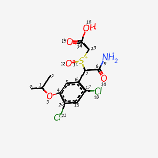 CC(C)Oc1cc(C(C(N)=O)[S+]([O-])CC(=O)O)c(Cl)cc1Cl